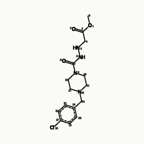 COC(=O)CNNC(=O)N1CCN(Cc2ccc(Cl)cc2)CC1